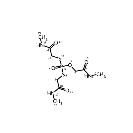 CNC(=O)COP(=O)(SCC(=O)NC)SCC(=O)NC